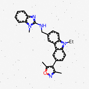 CCn1c2ccc(CNc3nc4ccccc4n3C)cc2c2cc(-c3c(C)noc3C)ccc21